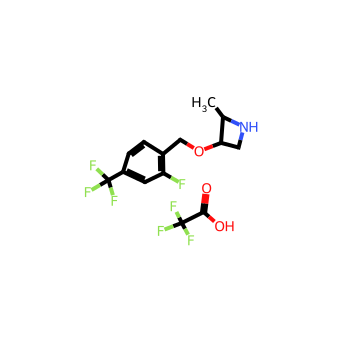 CC1NCC1OCc1ccc(C(F)(F)F)cc1F.O=C(O)C(F)(F)F